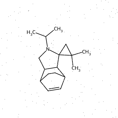 CC(C)N1CC2C3C=CC(CC3)C2C12CC2(C)C